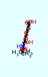 CC(C)(C)OC(=O)NCCC(O)COCCOCCOCCC(=O)O